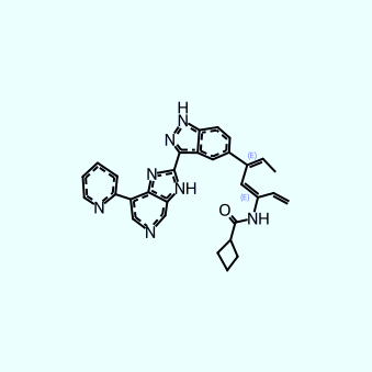 C=C/C(=C\C(=C/C)c1ccc2[nH]nc(-c3nc4c(-c5ccccn5)cncc4[nH]3)c2c1)NC(=O)C1CCC1